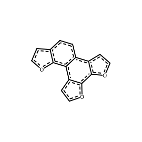 c1cc2c3ccc4ccoc4c3c3ccoc3c2o1